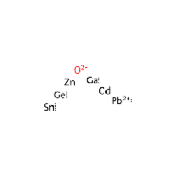 [Cd].[Ga].[Ge].[O-2].[Pb+2].[Sn].[Zn]